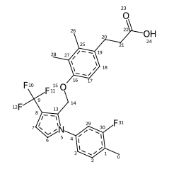 Cc1ccc(-n2ccc(C(F)(F)F)c2COc2ccc(CCC(=O)O)c(C)c2C)cc1F